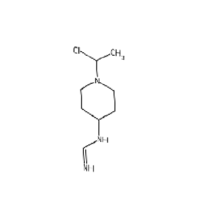 CC(Cl)N1CCC(NC=N)CC1